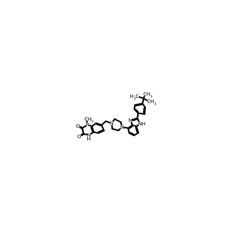 Cn1c(=O)c(=O)[nH]c2ccc(CN3CCN(c4cccc5[nH]c(-c6ccc(C(C)(C)C)cc6)nc45)CC3)cc21